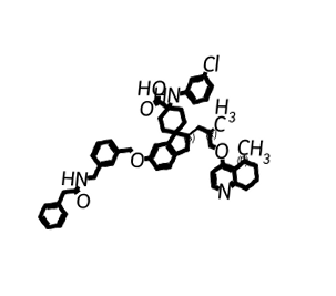 C[C@@H](COc1ccnc2c1[C@H](C)CCC2)C[C@H]1Cc2ccc(OCc3cccc(CNC(=O)Cc4ccccc4)c3)cc2C12CCC(Nc1cccc(Cl)c1)(C(=O)O)CC2